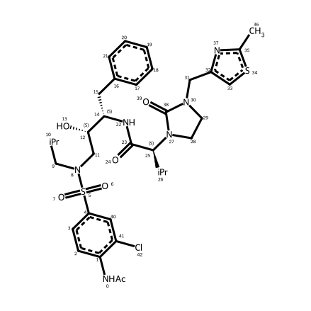 CC(=O)Nc1ccc(S(=O)(=O)N(CC(C)C)C[C@H](O)[C@H](Cc2ccccc2)NC(=O)[C@H](C(C)C)N2CCN(Cc3csc(C)n3)C2=O)cc1Cl